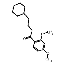 COc1ccc(C(=O)CCCC2CCCCC2)c(OC)c1